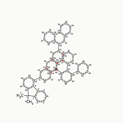 CC1(C)c2ccccc2-c2c(-c3ccc(N(c4ccc(-c5cc6ccccc6c6ccccc56)cc4)c4cccc(-c5ccccc5)c4-c4ccccc4-c4ccccc4)cc3)cccc21